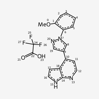 COc1ccccc1-n1cc(-c2ccnc3[nH]ccc23)cn1.O=C(O)C(F)(F)F